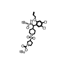 C=CCOc1cc(Cl)c(Cl)cc1C(N[S+]([O-])C(C)(C)C)C1CCN(S(=O)(=O)C2CCN(C(=O)OC(C)(C)C)C2)CC1